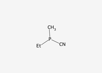 CCP(C)C#N